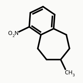 CC1CCc2cccc([N+](=O)[O-])c2CC1